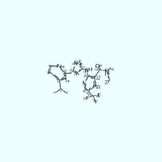 CC(C)c1ccnc(-c2nsc(Nc3ncc(C(F)(F)F)cc3C(=O)N(C)C)n2)c1